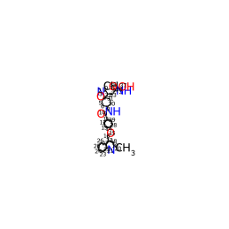 CC1=NOC2(CCC(NC(=O)c3ccc(OCc4cc(C)nc5ccccc45)cc3)CC2)C1CC(=O)NO